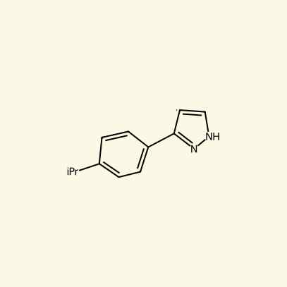 CC(C)c1ccc(-c2[c]c[nH]n2)cc1